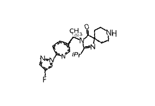 CC(C)C1=NC2(CCNCC2)C(=O)N1[C@@H](C)c1ccc(-n2cc(F)cn2)nc1